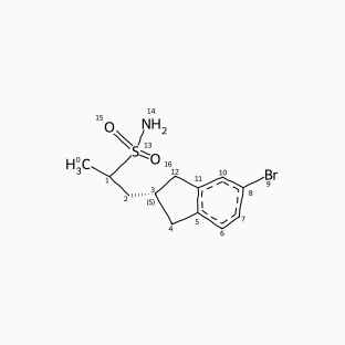 CC(C[C@H]1Cc2ccc(Br)cc2C1)S(N)(=O)=O